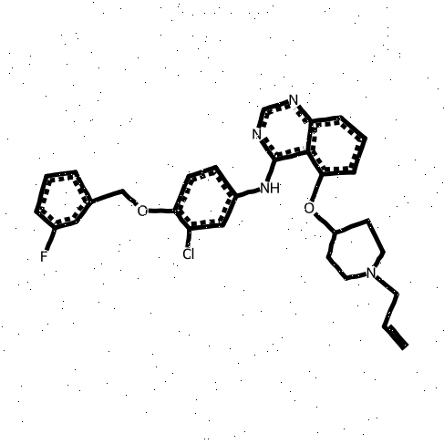 C=CCN1CCC(Oc2cccc3ncnc(Nc4ccc(OCc5cccc(F)c5)c(Cl)c4)c23)CC1